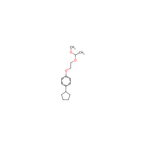 COC(C)OCCOc1ccc(C2CCCC2)cc1